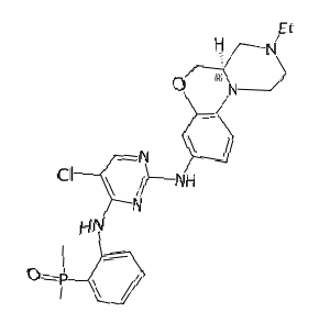 CCN1CCN2c3ccc(Nc4ncc(Cl)c(Nc5ccccc5P(C)(C)=O)n4)cc3OC[C@H]2C1